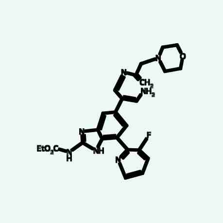 C=C(CN1CCOCC1)/N=C\C(=C/N)c1cc(-c2ncccc2F)c2[nH]c(NC(=O)OCC)nc2c1